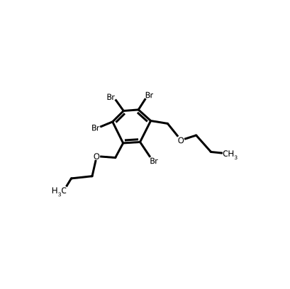 CCCOCc1c(Br)c(Br)c(Br)c(COCCC)c1Br